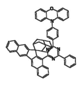 c1ccc(-c2nc(-c3ccc(N4c5ccccc5Oc5ccccc54)cc3)nc(-c3c4c(cc5ccccc35)-c3cc5ccccc5cc3C43C4CC5CC(C4)CC3C5)n2)cc1